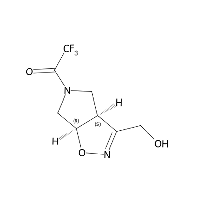 O=C(N1C[C@@H]2ON=C(CO)[C@@H]2C1)C(F)(F)F